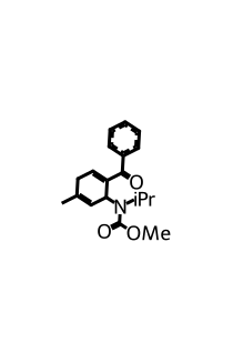 COC(=O)N(C(C)C)C1C=C(C)CC=C1C(=O)c1ccccc1